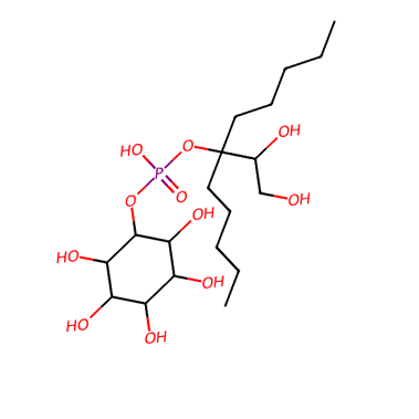 CCCCCC(CCCCC)(OP(=O)(O)OC1C(O)C(O)C(O)C(O)C1O)C(O)CO